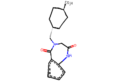 O=C1CN(C[C@H]2CC[C@H](C(=O)O)CC2)C(=O)c2ccccc2N1